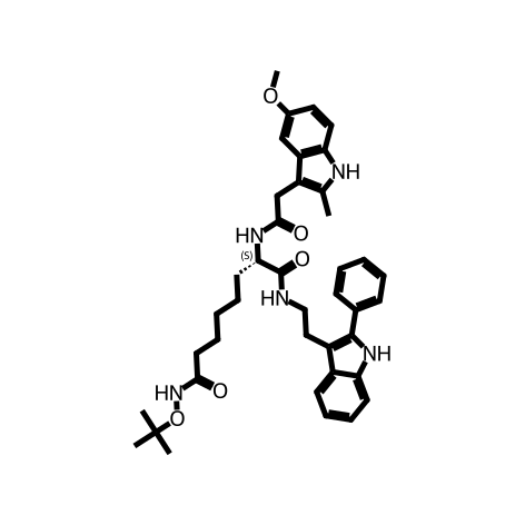 COc1ccc2[nH]c(C)c(CC(=O)N[C@@H](CCCCCC(=O)NOC(C)(C)C)C(=O)NCCc3c(-c4ccccc4)[nH]c4ccccc34)c2c1